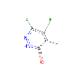 O=c1[nH]nc(F)c(F)c1F